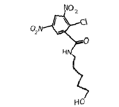 O=C(NCCCCCO)c1cc([N+](=O)[O-])cc([N+](=O)[O-])c1Cl